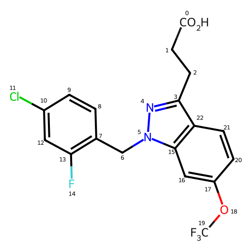 O=C(O)CCc1nn(Cc2ccc(Cl)cc2F)c2cc(OC(F)(F)F)ccc12